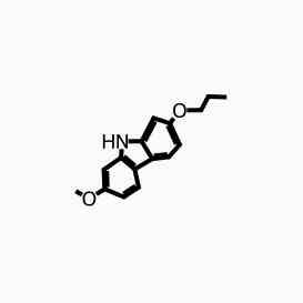 CCCOc1ccc2c(c1)[nH]c1cc(OC)ccc12